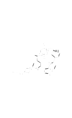 CCN(CC)[C@@H](C)CNC(=O)c1cc(-c2cnn3ccc(-c4ccncc4)nc23)nc(N2CC(OC)C2)c1